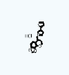 Cl.c1csc(C2CCN(CC3CCOc4c3ccc3c4OCO3)C2)c1